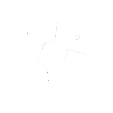 CCC1=CC(=O)C(C)C(C)(CC)C1